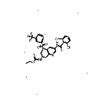 CCOC(=O)N[C@@H]1Cc2ncc(NC(=O)c3c(Cl)cccc3Cl)cc2N(S(=O)(=O)c2cccc(C(F)(F)F)c2)C1